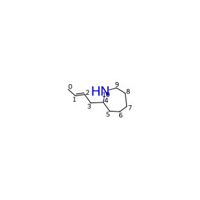 C/C=C/CC1CCCCCN1